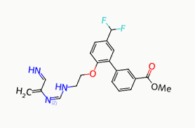 C=C(C=N)/N=C\NCCOc1ccc(C(F)F)cc1-c1cccc(C(=O)OC)c1